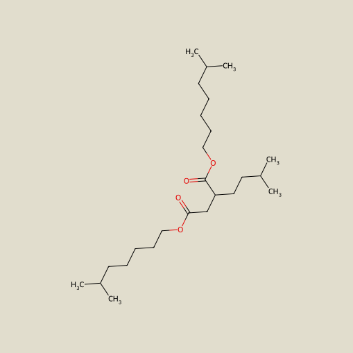 CC(C)CCCCCOC(=O)CC(CCC(C)C)C(=O)OCCCCCC(C)C